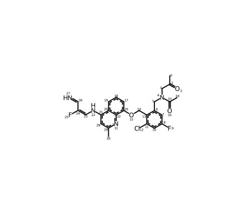 CC(=O)CN(Cc1cc(F)cc(Cl)c1COc1cccc2c(N/C=C(/F)C=N)cc(C)nc12)C(C)=O